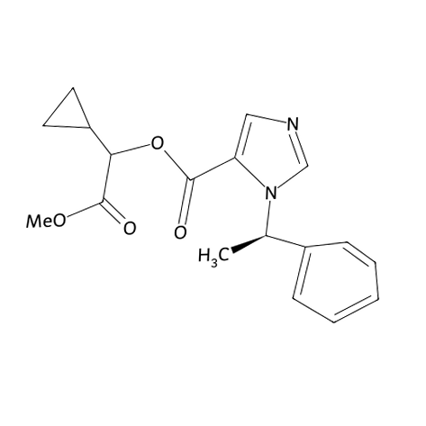 COC(=O)C(OC(=O)c1cncn1[C@H](C)c1ccccc1)C1CC1